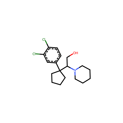 OCC(N1CCCCC1)C1(c2ccc(Cl)c(Cl)c2)CCCC1